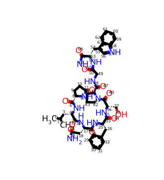 CC(C)C[C@H](NC(=O)[C@@H]1CCC(=O)N1)C(=O)N[C@@H](CC(N)=O)C(=O)N[C@@H](Cc1ccccc1)C(=O)N[C@@H](CO)C(=O)N1CCC[C@H]1C(=O)NCC(=O)N[C@@H](Cc1c[nH]c2ccccc12)C(N)=O